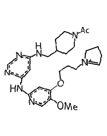 COc1cnc(Nc2cc(NCC3CCN(C(C)=O)CC3)ncn2)cc1OCCC[N+]1=CCCC1